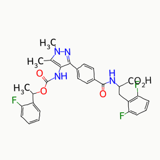 Cc1c(NC(=O)OC(C)c2ccccc2F)c(-c2ccc(C(=O)NC(Cc3c(F)cccc3F)C(=O)O)cc2)nn1C